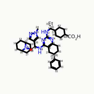 CC[C@@H](Nc1nc2c(c(N[C@@H](CN3C4CCCC3CCC4)c3cnn(C)c3)n1)C[C@H](c1ccccc1)CC2)C1CCC(C(=O)O)CC1